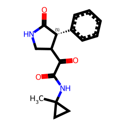 CC1(NC(=O)C(=O)C2CNC(=O)[C@@H]2c2ccccc2)CC1